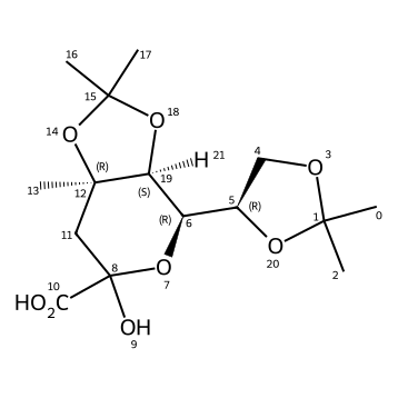 CC1(C)OC[C@H]([C@H]2OC(O)(C(=O)O)C[C@@]3(C)OC(C)(C)O[C@@H]23)O1